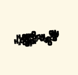 CC[C@@]1(O)C(=O)OCc2c1cc1n(c2=O)Cc2cc3c(CN4CCN(C(=O)OC(C)(C)C)CC4)c(OC(=O)N4CCN(C)CC4)ccc3nc2-1